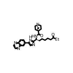 CCC(=O)CCCCC[C@H](NC(=O)C12CCN(CC1)CC2)c1ncc(-c2ccc3nccnc3c2)[nH]1